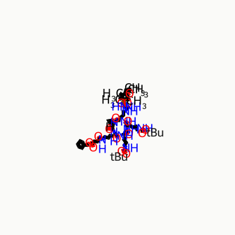 Cc1c(C)c(S(=O)(=O)NC(=N)NCCC[C@@H]2NC(=O)[C@H](CCCCNC(=O)OC(C)(C)C)NC(=O)[C@H](CCCCNC(=O)OC(C)(C)C)NC(=O)[C@H](CCCCNC(=O)CCC(=O)OCc3ccccc3)NC(=O)[C@H]3CCCN3C2=O)c(C)c2c1CC(C)(C)O2